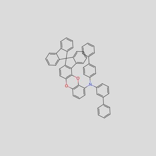 c1ccc(-c2ccc(N(c3cccc(-c4ccccc4)c3)c3cccc4c3Oc3c(ccc5c3-c3ccccc3C53c5ccccc5-c5ccccc53)O4)cc2)cc1